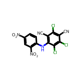 N#Cc1c(Cl)c(Cl)c(Nc2ccc([N+](=O)[O-])cc2[N+](=O)[O-])c(C#N)c1Cl